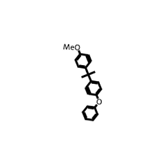 COc1c#cc(C(C)(C)c2c#cc(Oc3ccccc3)cc2)cc1